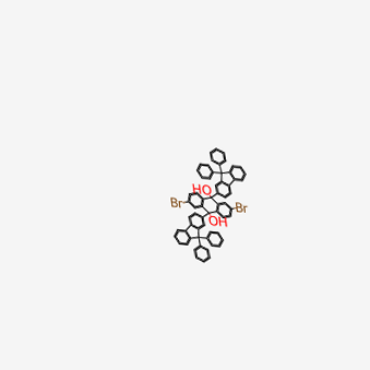 OC1(c2ccc3c(c2)C(c2ccccc2)(c2ccccc2)c2ccccc2-3)c2ccc(Br)cc2C(O)(c2ccc3c(c2)C(c2ccccc2)(c2ccccc2)c2ccccc2-3)c2ccc(Br)cc21